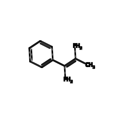 C/C(P)=C(\P)c1ccccc1